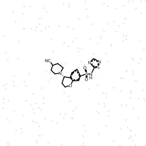 N#CC1CCN([C@H]2CCOc3cc(S(=O)(=O)Nc4ncns4)ccc32)CC1